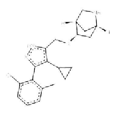 Cc1cccc(Cl)c1-c1n[nH]c(CO[C@@H]2C[C@@H]3C[C@H]2CN3)c1C1CC1